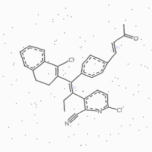 CC/C(=C(\C1=C(Cl)c2ccccc2CC1)c1ccc(/C=C/C(C)=O)cc1)c1ccc(Cl)nc1C#N